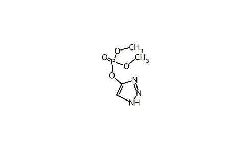 COP(=O)(OC)Oc1c[nH]nn1